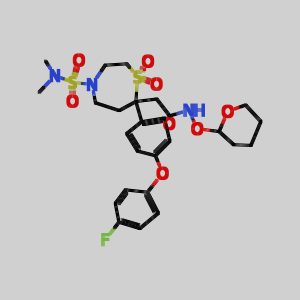 CN(C)S(=O)(=O)N1CCC(CC(=O)NOC2CCCCO2)(c2ccc(Oc3ccc(F)cc3)cc2)S(=O)(=O)CC1